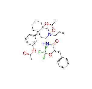 C=CCN1CC2(OC(C)=O)CCCC[C@@]2(c2cccc(OC(C)=O)c2)C[C@H]1NC(=O)C(=Cc1ccccc1)OC(F)(F)F